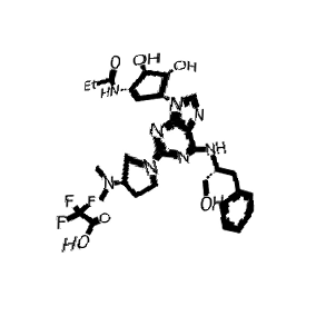 CCC(=O)N[C@H]1C[C@@H](n2cnc3c(N[C@@H](CO)Cc4ccccc4)nc(N4CC[C@@H](N(C)C)C4)nc32)[C@H](O)[C@@H]1O.O=C(O)C(F)(F)F